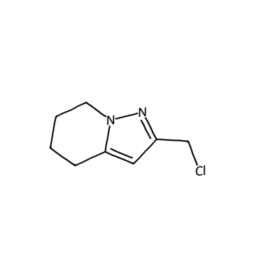 ClCc1cc2n(n1)CCCC2